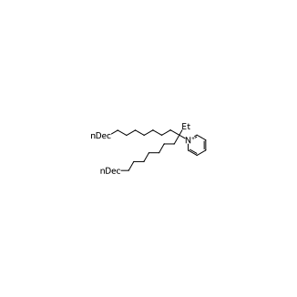 CCCCCCCCCCCCCCCCCC(CC)(CCCCCCCCCCCCCCCCC)[n+]1ccccc1